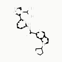 CC(C)n1cnnc1-c1cccc(NC(=O)c2cc3c(ccn3C3CCOC3)cn2)n1